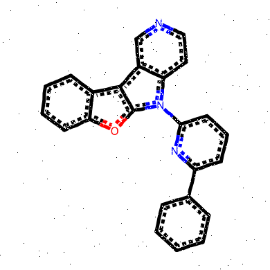 c1ccc(-c2cccc(-n3c4ccncc4c4c5ccccc5oc43)n2)cc1